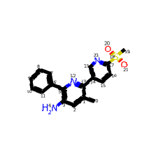 Cc1cc(N)c(-c2ccccc2)nc1-c1ccc(S(C)(=O)=O)nc1